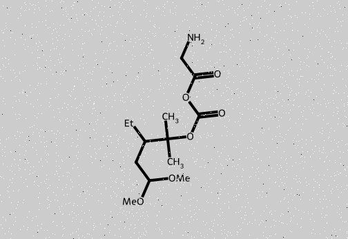 CCC(CC(OC)OC)C(C)(C)OC(=O)OC(=O)CN